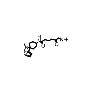 CN(C)C1(c2cccs2)CCC(NC(=O)CCCC(=O)C[NH])CC1